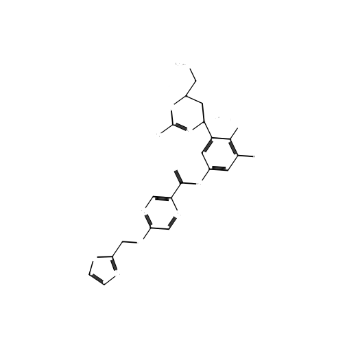 COC[C@@]1(C)C[C@@](C)(c2cc(NC(=O)c3cnc(OCc4nccs4)cn3)cc(F)c2F)N=C(N)S1